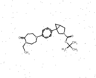 CCN1CCN(c2ccc(C34CC3CN(C(=O)OC(C)(C)C)C4)cc2)CCC1=O